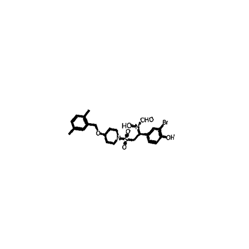 Cc1ccc(C)c(COC2CCN(S(=O)(=O)CC(c3ccc(O)c(Br)c3)N(O)C=O)CC2)c1